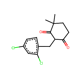 CC1(C)CCC(=O)C(Cc2ccc(Cl)cc2Cl)C1=O